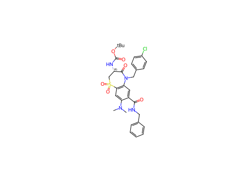 CN(C)c1cc2c(cc1C(=O)NCc1ccccc1)N(Cc1ccc(Cl)cc1)C(=O)[C@@H](NC(=O)OC(C)(C)C)CS2(=O)=O